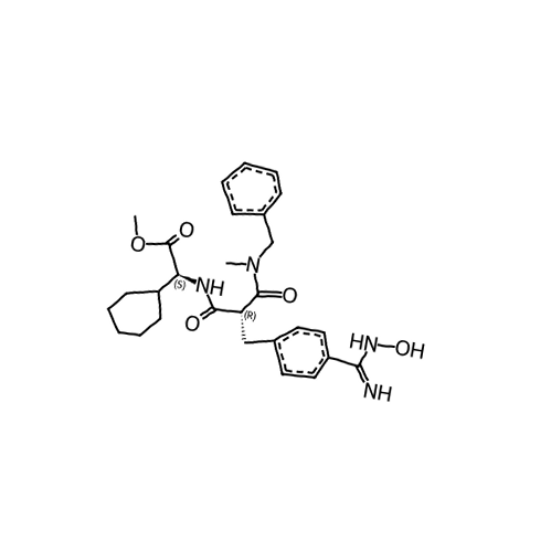 COC(=O)[C@@H](NC(=O)[C@@H](Cc1ccc(C(=N)NO)cc1)C(=O)N(C)Cc1ccccc1)C1CCCCC1